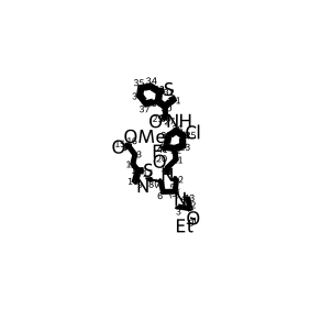 CCOC1CN([C@H]2C[C@@H](c3ncc(CCC(=O)OC)s3)N(C(=O)Cc3cc(Cl)c(NC(=O)c4csc5ccccc45)cc3F)C2)C1